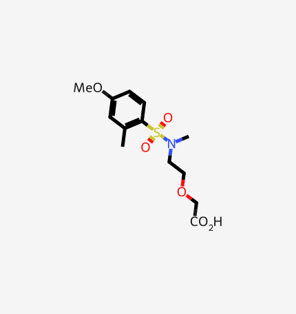 COc1ccc(S(=O)(=O)N(C)CCOCC(=O)O)c(C)c1